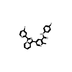 Cc1ncc(-c2nc(-c3cc(F)ccn3)n3ccccc23)cc1C(=O)Nc1ccc(F)cc1